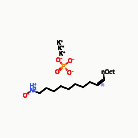 CCCCCCCC/C=C\CCCCCCCC[NH2+][O-].O=P([O-])([O-])[O-].[K+].[K+].[K+]